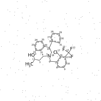 CC(O)CCN(Cc1cccc(C(F)(F)F)c1Cl)CC(c1ccccc1)c1ccccc1